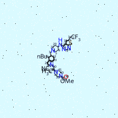 CCCCc1c(CN2CCC(Nc3ncnc4sc(CC(F)(F)F)cc34)CC2)ccc2c1cc(C#N)n2C[C@H](C)N1CCN(C(=O)OC)CC1